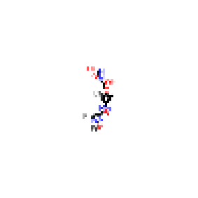 CCOc1nc(CC)cc(-c2nc(-c3cc(C)c(OCC(O)CNC(=O)CO)c(CC)c3)no2)n1